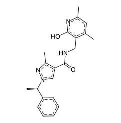 Cc1cc(C)c(CNC(=O)c2cn([C@H](C)c3ccccc3)nc2C)c(O)n1